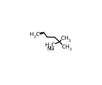 C=CCCC(C)(C)C.[Na]